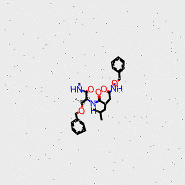 CNC(=O)[C@@H](NC(=O)C(CC(=O)NOCc1ccccc1)CC(C)C)[C@@H](C)OCc1ccccc1